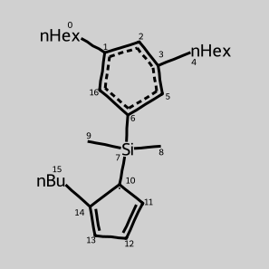 CCCCCCc1cc(CCCCCC)cc([Si](C)(C)[C]2C=CC=C2CCCC)c1